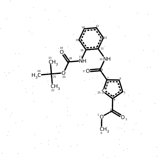 COC(=O)c1ccc(C(=O)Nc2ccccc2NC(=O)OC(C)(C)C)s1